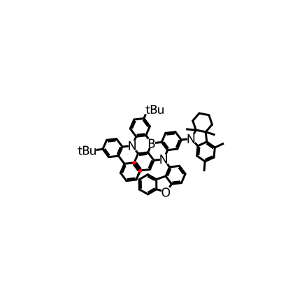 Cc1cc2c3c(c1)N(c1cccc4oc5ccccc5c14)c1cc(N4c5cc(C)cc(C)c5C5(C)CCCCC45C)ccc1B3c1cc(C(C)(C)C)ccc1N2c1ccc(C(C)(C)C)cc1-c1ccccc1